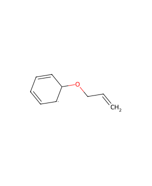 C=CCOC1[CH]C=CC=C1